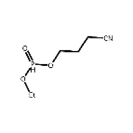 CCO[PH](=O)OCCCC#N